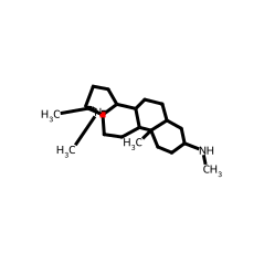 CNC1CCC2(C)C(CCC3C2CCC24CN(C)C(C)C2CCC34)C1